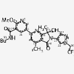 COc1ncc(-c2cc(C)c3c(n2)C(C)(C)N(c2cnn(CC(F)(F)F)c2)C3=O)cc1C(=O)NC(C)(C)C